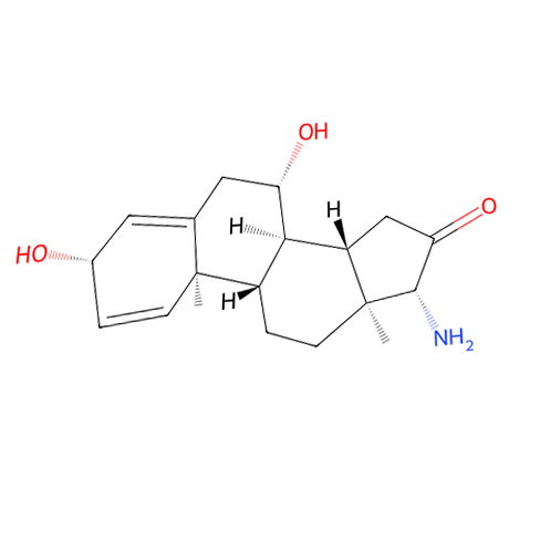 C[C@]12CC[C@H]3[C@@H]([C@@H](O)CC4=C[C@@H](O)C=C[C@@]43C)[C@@H]1CC(=O)[C@@H]2N